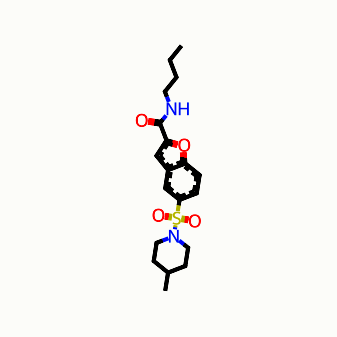 CCCCNC(=O)c1cc2cc(S(=O)(=O)N3CCC(C)CC3)ccc2o1